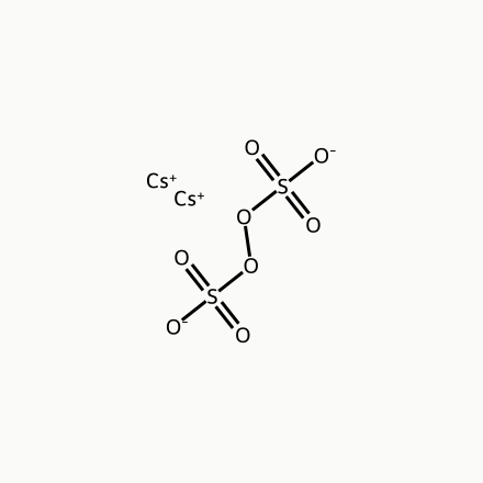 O=S(=O)([O-])OOS(=O)(=O)[O-].[Cs+].[Cs+]